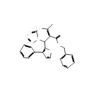 CC1=C(C(=O)OCc2ccccc2)C(c2occc2-c2ccccc2)n2nnnc2N1